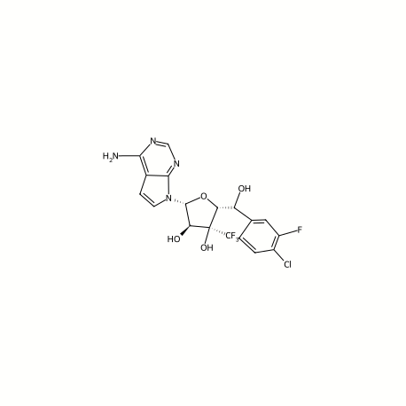 Nc1ncnc2c1ccn2[C@@H]1O[C@H](C(O)c2ccc(Cl)c(F)c2)[C@](O)(C(F)(F)F)[C@H]1O